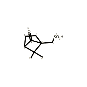 CC1(C)C2CCC1(CS(=O)(=O)O)C2=O